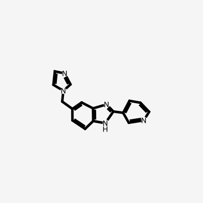 c1cncc(-c2nc3cc(Cn4ccnc4)ccc3[nH]2)c1